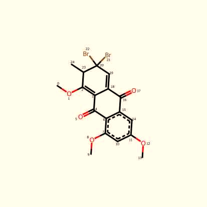 COC1=C2C(=O)c3c(OC)cc(OC)cc3C(=O)C2=CC(Br)(Br)C1C